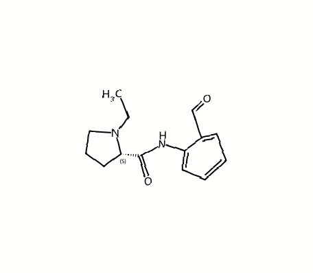 CCN1CCC[C@H]1C(=O)Nc1ccccc1C=O